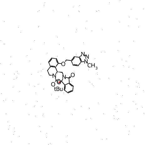 Cn1nnc2cc(COc3cccc4c3[C@@H](CN3C(=O)c5ccccc5C3=O)N(C(=O)OC(C)(C)C)CC4)ccc21